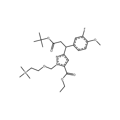 CCOC(=O)c1cc(C(CC(=O)OC(C)(C)C)c2ccc(OC)c(F)c2)nn1COCC[Si](C)(C)C